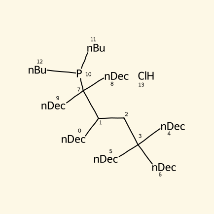 CCCCCCCCCCC(CC(CCCCCCCCCC)(CCCCCCCCCC)CCCCCCCCCC)C(CCCCCCCCCC)(CCCCCCCCCC)P(CCCC)CCCC.Cl